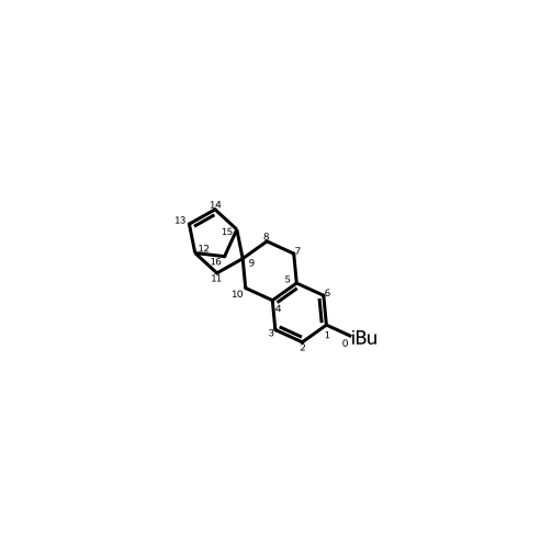 CCC(C)c1ccc2c(c1)CCC1(C2)CC2C=CC1C2